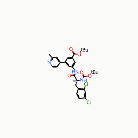 Cc1cc(-c2cc(NC(=O)[C@H](Cc3ccc(Cl)cc3Cl)NC(=O)OC(C)(C)C)cc(C(=O)OC(C)(C)C)c2)ccn1